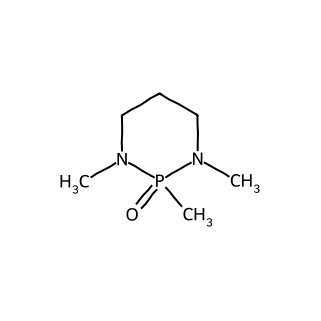 CN1CCCN(C)P1(C)=O